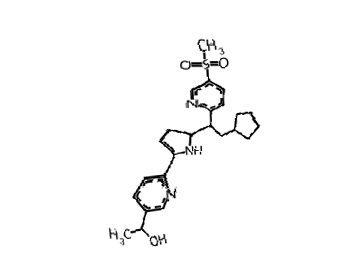 CC(O)c1ccc(C2=CCC(C(CC3CCCC3)c3ccc(S(C)(=O)=O)cn3)N2)nc1